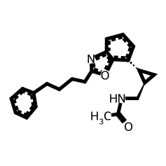 CC(=O)NC[C@@H]1C[C@H]1c1cccc2nc(CCCCc3ccccc3)oc12